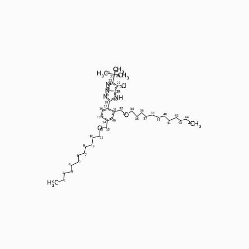 CCCCCCCCCCCCOCc1ccc(-c2nn3nc(C(C)(C)C)c(Cl)c3[nH]2)c(COCCCCCCCCCCCC)c1